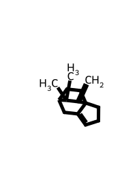 C=C1C23CCC=C2CC(CC3)C1(C)C